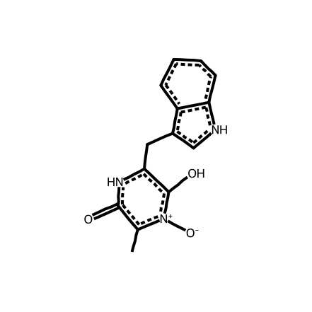 Cc1c(=O)[nH]c(Cc2c[nH]c3ccccc23)c(O)[n+]1[O-]